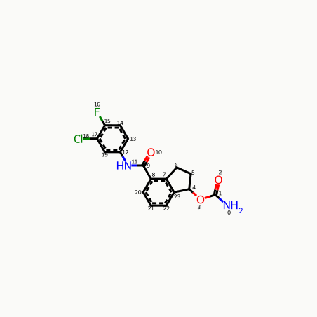 NC(=O)OC1CCc2c(C(=O)Nc3ccc(F)c(Cl)c3)cccc21